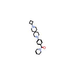 O=C(c1ccc(N2CCC3(CC2)CCN(C2CCC2)CC3)cc1)N1CC=CCC1